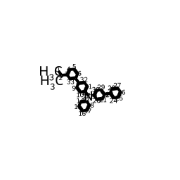 CC(C)c1cccc(-c2ccc(N(c3ccccc3)c3ccc(-c4ccccc4)cc3)cc2)c1